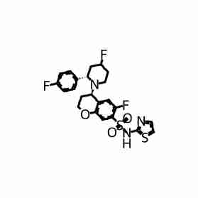 O=S(=O)(Nc1nccs1)c1cc2c(cc1F)[C@H](N1CCC(F)C[C@H]1c1ccc(F)cc1)CCO2